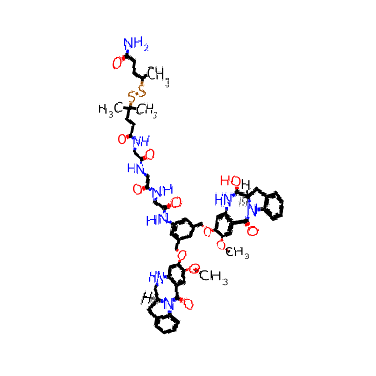 COc1cc2c(cc1OCc1cc(COc3cc4c(cc3OC)C(=O)N3c5ccccc5C[C@H]3C(O)N4)cc(NC(=O)CNC(=O)CNC(=O)CNC(=O)CCC(C)(C)SSC(C)CCC(N)=O)c1)NC[C@@H]1Cc3ccccc3N1C2=O